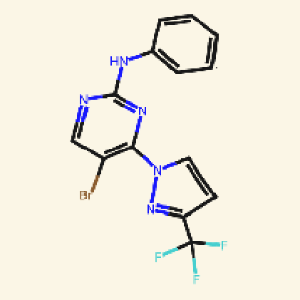 FC(F)(F)c1ccn(-c2nc(Nc3c[c]ccc3)ncc2Br)n1